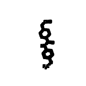 O=CCC1CCN(C(=O)Nc2ccc(OC(F)(F)F)cc2)CC1